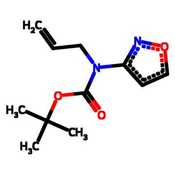 C=CCN(C(=O)OC(C)(C)C)c1ccon1